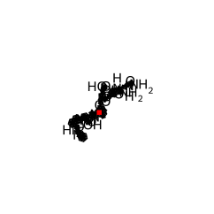 Cc1c(-c2ccc(N3CCc4cccc(C(=O)Nc5nc6ccccc6s5)c4C3)nc2C(=O)O)cnn1CC12CC3(C)CC(C)(C1)CC(OCCN(CCCP(=O)(O)O)C(=O)OCc1ccc(N[C@@H](CCCNC(N)=O)C(N)=O)cc1)(C3)C2